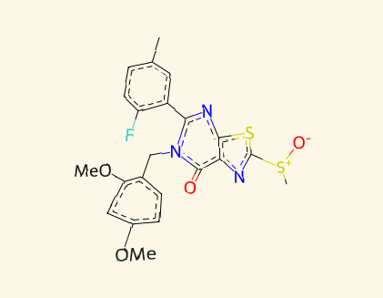 COc1ccc(Cn2c(-c3cc(C)ccc3F)nc3sc([S+](C)[O-])nc3c2=O)c(OC)c1